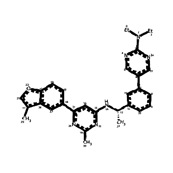 CCN(CC)c1ncc(-c2cccc([C@H](C)Nc3cc(-c4ccc5occ(C)c5c4)nc(C)n3)c2)cn1